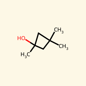 CC1(C)CC(C)(O)C1